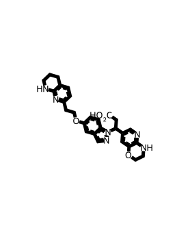 O=C(O)CC(c1cnc2c(c1)OCCN2)n1ncc2cc(OCCc3ccc4c(n3)NCCC4)ccc21